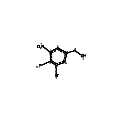 O=[N+]([O-])c1cc(CO)cc(Br)c1F